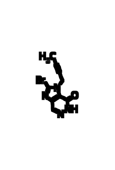 CC#CCn1c(Br)nc2cn[nH]c(=O)c21